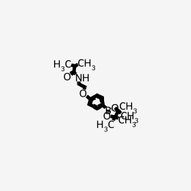 CC(C)C(=O)NCCOc1ccc(B2OC(C)(C)C(C)(C)O2)cc1